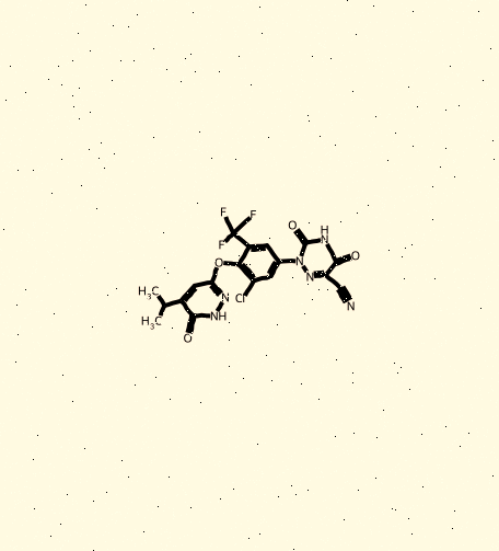 CC(C)c1cc(Oc2c(Cl)cc(-n3nc(C#N)c(=O)[nH]c3=O)cc2C(F)(F)F)n[nH]c1=O